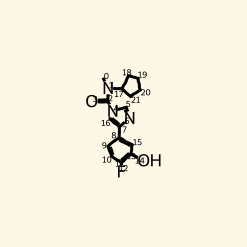 CN(C(=O)n1cnc(-c2ccc(F)c(O)c2)c1)C1CCCC1